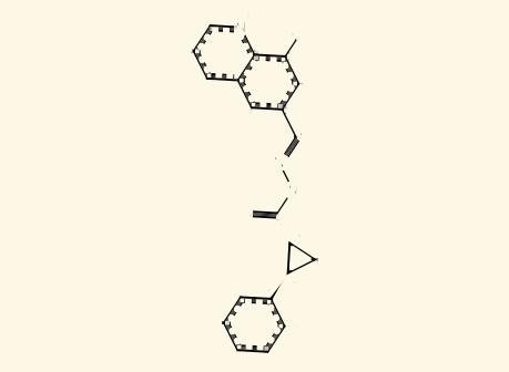 O=C(NN=Cc1cc(Cl)c2ncccc2c1)[C@@H]1C[C@H]1c1ccccc1